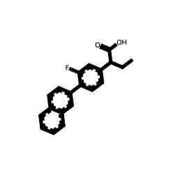 CCC(C(=O)O)c1ccc(-c2ccc3ccccc3c2)c(F)c1